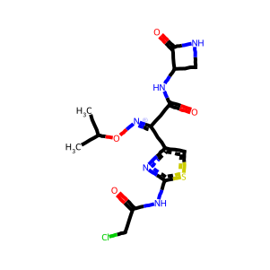 CC(C)O/N=C(/C(=O)NC1CNC1=O)c1csc(NC(=O)CCl)n1